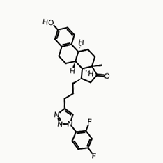 C[C@]12CC[C@@H]3c4ccc(O)cc4CC[C@H]3[C@@H]1[C@H](CCCc1cn(-c3ccc(F)cc3F)nn1)CC2=O